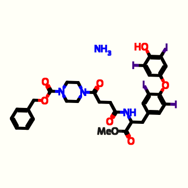 COC(=O)C(Cc1cc(I)c(Oc2cc(I)c(O)c(I)c2)c(I)c1)NC(=O)CCC(=O)N1CCN(C(=O)OCc2ccccc2)CC1.N